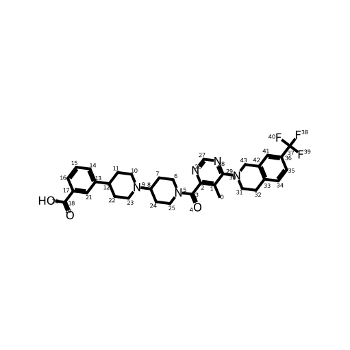 Cc1c(C(=O)N2CCC(N3CCC(c4cccc(C(=O)O)c4)CC3)CC2)ncnc1N1CCc2ccc(C(F)(F)F)cc2C1